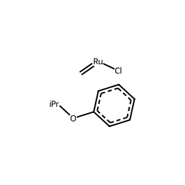 CC(C)Oc1ccccc1.[CH2]=[Ru][Cl]